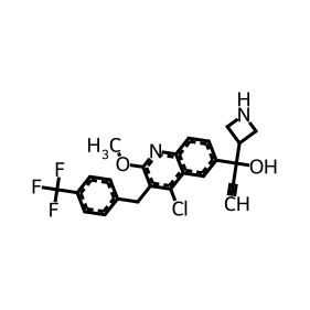 C#CC(O)(c1ccc2nc(OC)c(Cc3ccc(C(F)(F)F)cc3)c(Cl)c2c1)C1CNC1